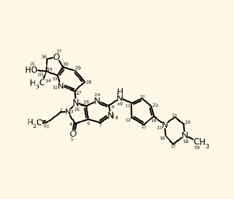 C=CCn1c(=O)c2cnc(Nc3ccc(N4CCN(C)CC4)cc3)nc2n1-c1ccc2c(n1)[C@](C)(O)CO2